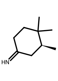 C[C@H]1CC(=N)CCC1(C)C